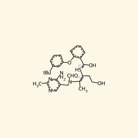 C/C(=C(CCO)/[SH]=C(\O)c1ccccc1Oc1cccc(C(C)(C)C)c1)N(C=O)Cc1cnc(C)nc1N